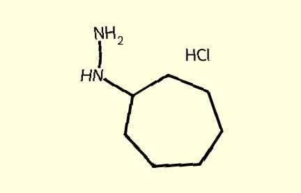 Cl.NNC1CCCCCC1